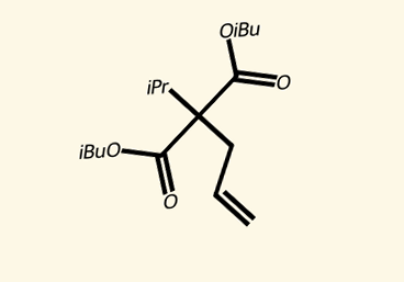 C=CCC(C(=O)OCC(C)C)(C(=O)OCC(C)C)C(C)C